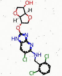 O[C@@H]1CO[C@H]2[C@@H]1OC[C@H]2Oc1nc2nc(NCc3c(Cl)cccc3Cl)c(Cl)cc2[nH]1